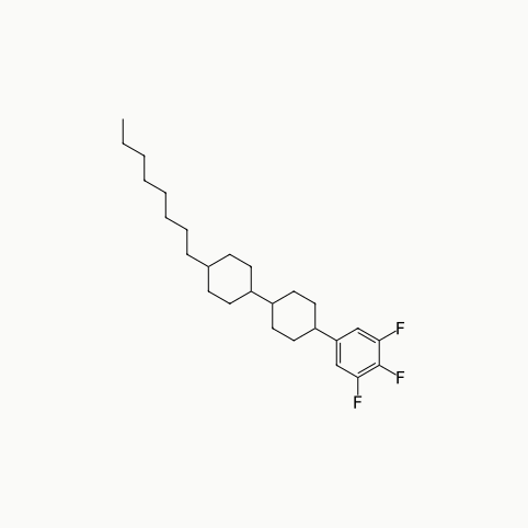 CCCCCCCCC1CCC(C2CCC(c3cc(F)c(F)c(F)c3)CC2)CC1